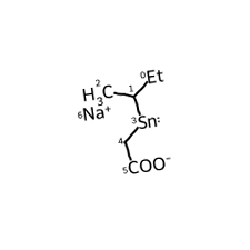 CC[CH](C)[Sn][CH2]C(=O)[O-].[Na+]